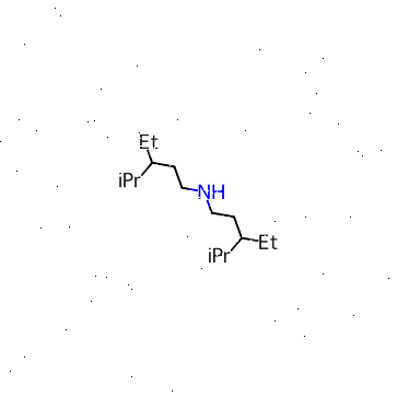 CCC(CCNCCC(CC)C(C)C)C(C)C